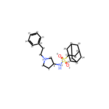 O=S(=O)(NC1CCN(CCc2ccccc2)C1)C12CC3CC(CC(C3)C1)C2